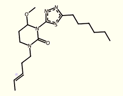 C/C=C/CCN1CCC(OC)N(c2nnc(CCCCCC)s2)C1=O